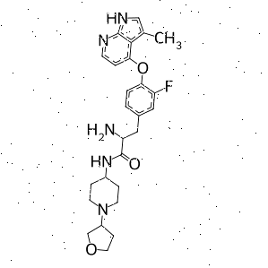 Cc1c[nH]c2nccc(Oc3ccc(CC(N)C(=O)NC4CCN(C5CCOC5)CC4)cc3F)c12